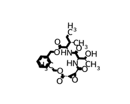 CCOC(=O)[C@H]1O[C@@H]1C(=O)N[C@H](C(=O)N[C@H](C(=O)OCc1ccccc1)[C@@H](C)CC)[C@@H](C)O